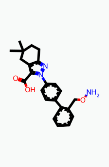 CC1(C)CCc2nn(-c3ccc(-c4ccccc4CON)cc3)c(C(=O)O)c2C1